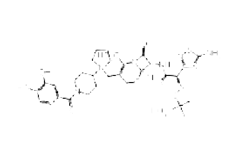 CC(C)(O/N=C(\C(=O)N[C@@H]1C(=O)N2C(C(=O)O)=C(C[N+]3(C4CCN(C(=O)c5ccc(O)c(O)c5)CC4)CCCC3)CS[C@H]12)c1nsc(N)n1)C(=O)O